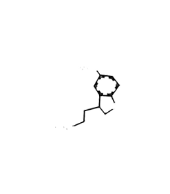 COc1ccc2c(c1)C(CCNC(C)=O)CO2